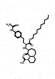 CCCCCCCCCCOC(=O)[C@H](CCc1ccc(NC(=N)N)cc1)N[C@H]1CCCN2CCC[C@@H](C(=O)O)N2C1=O